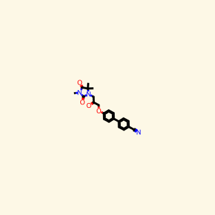 CN1C(=O)N(CC(=O)COc2ccc(-c3ccc(C#N)cc3)cc2)C(C)(C)C1=O